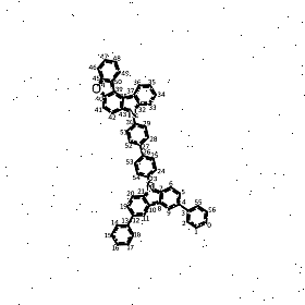 c1ccc(-c2ccc3c(c2)c2cc(-c4ccccc4)ccc2n3-c2ccc(-c3ccc(-n4c5ccccc5c5c6c(ccc54)oc4ccccc46)cc3)cc2)cc1